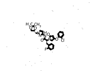 CC1(C)OC[C@@H](Cn2ccc(NC(=O)[C@H](Cc3ccccc3F)N3CC(Oc4ccccc4Cl)=CC3=O)n2)O1